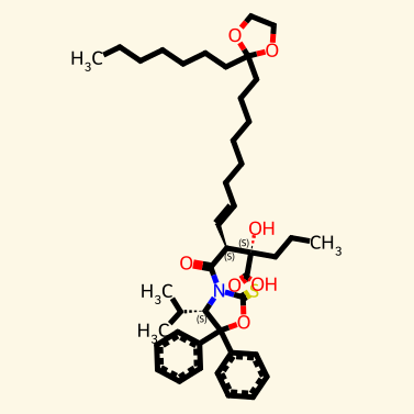 CCCCCCCC1(CCCCCCC=C[C@H](C(=O)N2C(=S)OC(c3ccccc3)(c3ccccc3)[C@@H]2C(C)C)[C@@](O)(CCC)C(=O)O)OCCO1